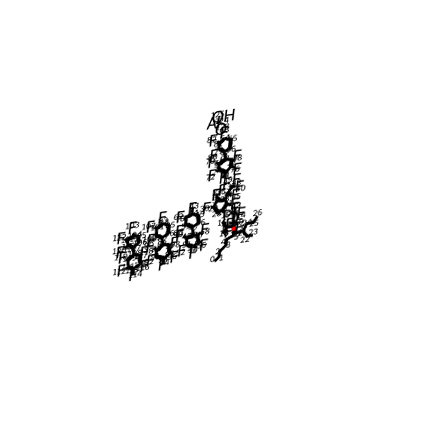 CCCCCCC(F)(F)C(F)(F)C(F)(F)P(CC(C)CCC(CC)CCC)c1cc(F)c(F)c(C(F)(F)C(F)(F)F)c1F.Fc1ccc(-c2c(F)c(F)c(F)c(F)c2F)c(F)c1F.Fc1ccc(-c2c(F)c(F)c(F)c(F)c2F)c(F)c1F.Fc1ccc(-c2c(F)c(F)c(F)c(F)c2F)c(F)c1F.Fc1ccc(-c2c(F)c(F)c(F)c(F)c2F)c(F)c1F.[O]=[Al][OH]